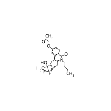 CCCCn1c(=O)c2ccc(OCC(C)=O)cc2c2cc(C(C)(O)C(F)(F)F)ccc21